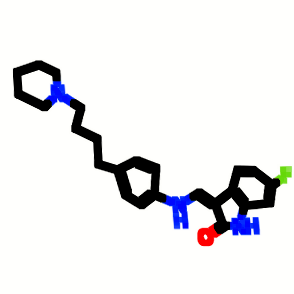 O=C1Nc2cc(F)ccc2C1=CNc1ccc(CCCCN2CCCCC2)cc1